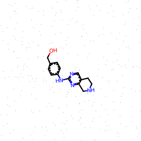 OCc1ccc(Nc2ncc3c(n2)CNCC3)cc1